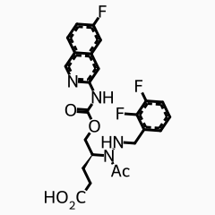 CC(=O)N(NCc1cccc(F)c1F)[C@@H](CCC(=O)O)COC(=O)Nc1cc2cc(F)ccc2cn1